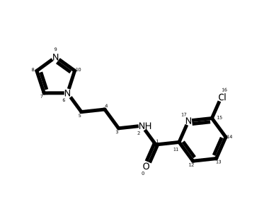 O=C(NCCCn1ccnc1)c1cccc(Cl)n1